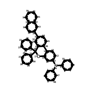 c1ccc(N(c2ccccc2)c2ccc3c(c2)OC(c2ccccc2)(c2ccccc2)c2cc(-c4ccc5ccccc5c4)ccc2-3)cc1